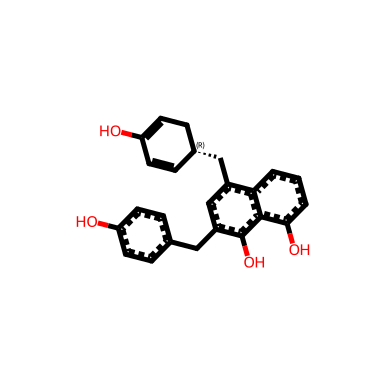 OC1=CC[C@H](Cc2cc(Cc3ccc(O)cc3)c(O)c3c(O)cccc23)C=C1